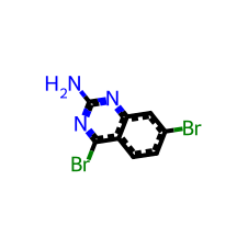 Nc1nc(Br)c2ccc(Br)cc2n1